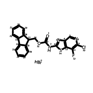 Br.O=C(Nc1nc2cnc(Cl)c(F)c2s1)OCC1c2ccccc2-c2ccccc21